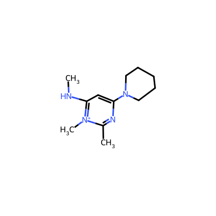 CNc1cc(N2CCCCC2)nc(C)[n+]1C